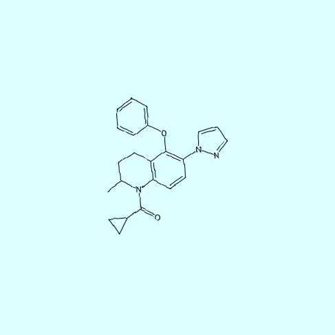 CC1CCc2c(ccc(-n3cccn3)c2Oc2ccccc2)N1C(=O)C1CC1